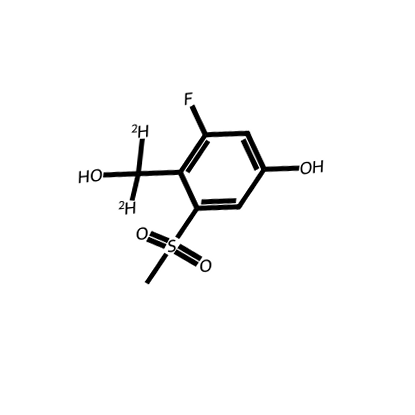 [2H]C([2H])(O)c1c(F)cc(O)cc1S(C)(=O)=O